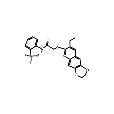 CCc1cc2cc3c(cc2nc1SCC(=O)Nc1ccccc1C(F)(F)F)OCCO3